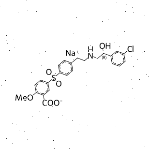 COc1ccc(S(=O)(=O)c2ccc(CCNC[C@H](O)c3cccc(Cl)c3)cc2)cc1C(=O)[O-].[Na+]